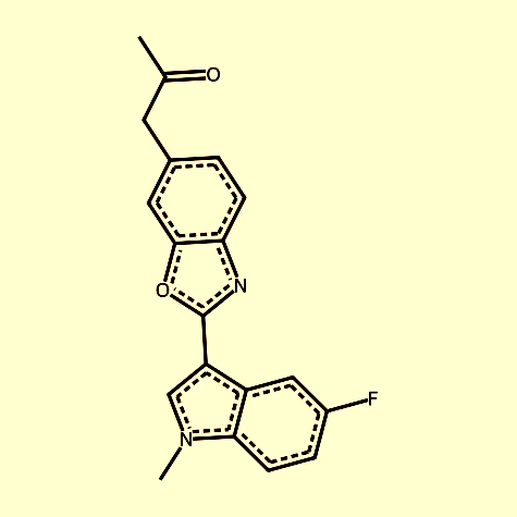 CC(=O)Cc1ccc2nc(-c3cn(C)c4ccc(F)cc34)oc2c1